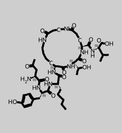 CCCCC[C@H](NC(=O)[C@H](Cc1ccc(O)cc1)NC(=O)[C@@H](N)CC(C)=O)C(=O)N[C@H]1CCCCNC(=O)CCNC(=O)CC[C@@H](C(=O)N[C@H](C(=O)O)C(C)C)NC(=O)[C@H](C(C)O)NC1=O